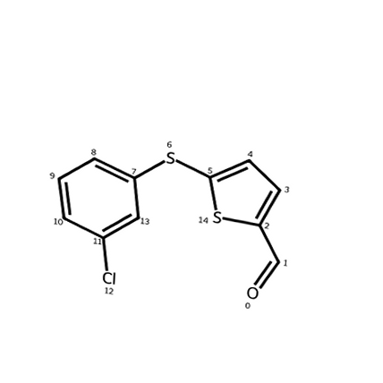 O=Cc1ccc(Sc2cccc(Cl)c2)s1